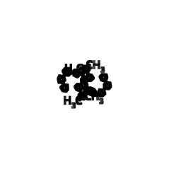 Cc1ccc(C(c2ccc(-c3cccc(-c4cccc(-c5ccccc5)c4)c3)cc2)c2cc3c4ccccc4c(N(c4ccc(-c5cccc(-c6cccc(-c7ccccc7)c6)c5)cc4)c4ccc(C)cc4C)cc3c3ccccc23)c(C)c1